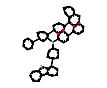 c1ccc(-c2ccc(N(c3ccc(-c4cccc5c4oc4ccccc45)cc3)c3cc(-c4ccccc4)ccc3-c3ccc(-c4cccc5ccccc45)cc3)cc2)cc1